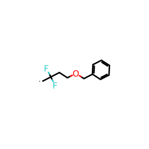 [CH2]C(F)(F)CCOCc1ccccc1